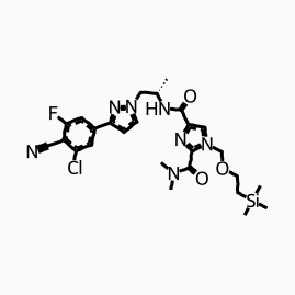 C[C@@H](Cn1ccc(-c2cc(F)c(C#N)c(Cl)c2)n1)NC(=O)c1cn(COCC[Si](C)(C)C)c(C(=O)N(C)C)n1